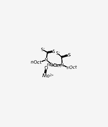 CCCCCCCCN(CCCCCCCC)C(=S)[S-].CCCCCCCCN(CCCCCCCC)C(=S)[S-].[O]=[Mo+2]